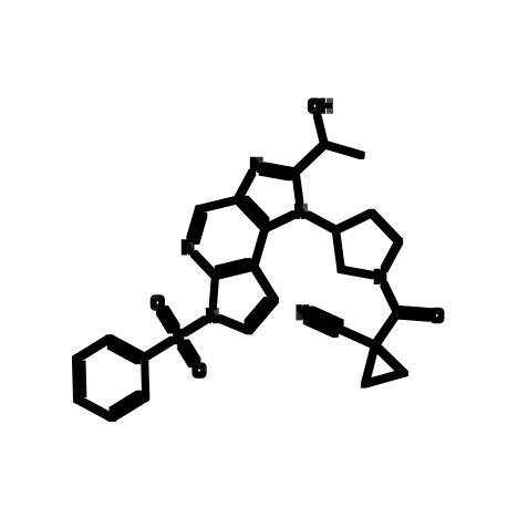 CC(O)c1nc2cnc3c(ccn3S(=O)(=O)c3ccccc3)c2n1C1CCN(C(=O)C2(C#N)CC2)C1